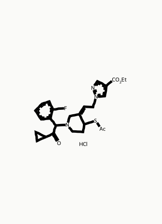 CCOC(=O)c1cnn(C/C=C2/CN(C(C(=O)C3CC3)c3ccccc3F)CCC2SC(C)=O)c1.Cl